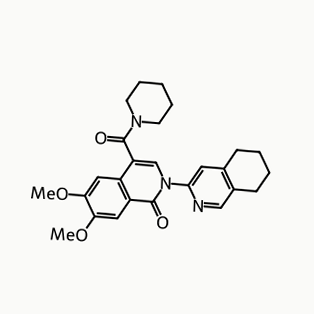 COc1cc2c(C(=O)N3CCCCC3)cn(-c3cc4c(cn3)CCCC4)c(=O)c2cc1OC